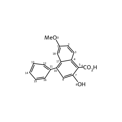 COc1ccc2c(C(=O)O)c(O)cc(-c3ccccc3)c2c1